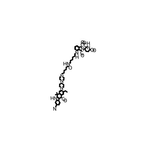 CCc1cc2c(cc1N1CCC(N3CCN(CCCCCC(=O)NCCCCCCNc4cccc5c(=C=O)n(C6CCC(=C=O)NC6=C=O)c(=C=O)c45)CC3)CC1)C(C)(C)c1[nH]c3cc(C#N)ccc3c1C2=C=O